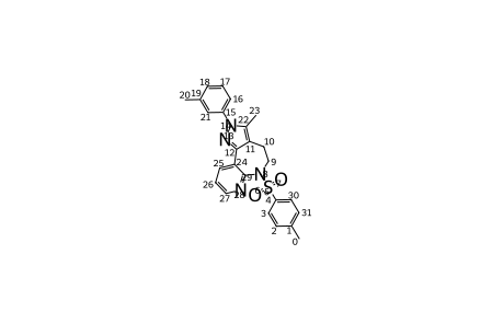 Cc1ccc(S(=O)(=O)N2CCc3c(nn(-c4cccc(C)c4)c3C)-c3cccnc32)cc1